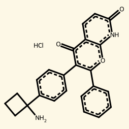 Cl.NC1(c2ccc(-c3c(-c4ccccc4)oc4[nH]c(=O)ccc4c3=O)cc2)CCC1